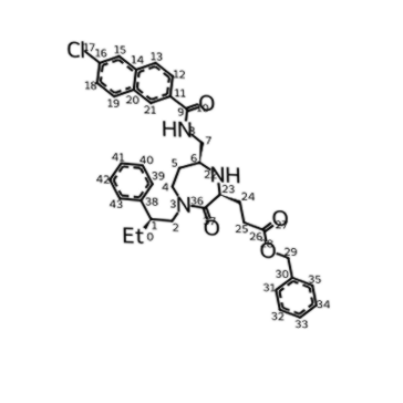 CC[C@H](CN1CC[C@@H](CNC(=O)c2ccc3cc(Cl)ccc3c2)N[C@@H](CCC(=O)OCc2ccccc2)C1=O)c1ccccc1